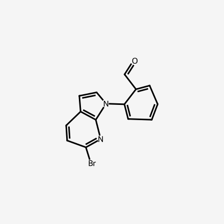 O=Cc1ccccc1-n1ccc2ccc(Br)nc21